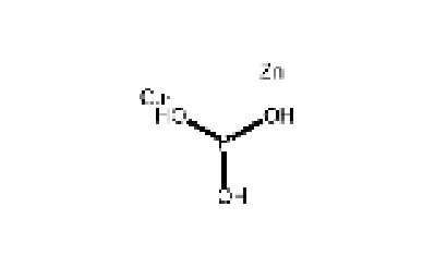 OP(O)O.[Cu].[Zn]